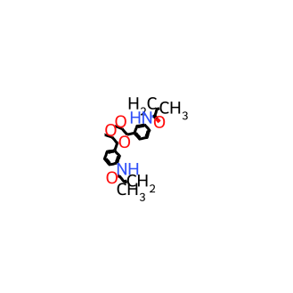 C=C(C)C(=O)Nc1cccc(C(OC(c2cccc(NC(=O)C(=C)C)c2)C2CO2)C2CO2)c1